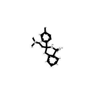 Cc1ccc(C2(CCN(C)C)Cc3ccccc3C(=O)O2)cc1